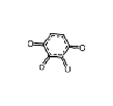 O=c1ccc(=O)c(=O)c1=O